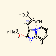 CCCCCCOc1nc2c(C)cccn2c1/C=C(\C#N)C(=O)O